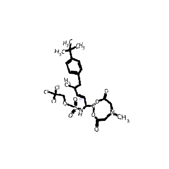 CC(/C=C/C(NS(=O)(=O)OCC(Cl)(Cl)Cl)B1OC(=O)CN(C)CC(=O)O1)Cc1ccc(C(C)(C)C)cc1